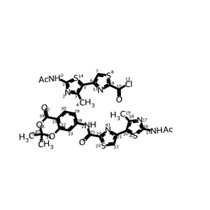 CC(=O)Nc1nc(C)c(-c2csc(C(=O)Cl)n2)s1.CC(=O)Nc1nc(C)c(-c2csc(C(=O)Nc3ccc4c(c3)OC(C)(C)OC4=O)n2)s1